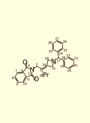 CC(C)C(CN1C(=O)c2ccccc2C1=O)=C1CN(C(c2ccccc2)c2ccccc2)C1